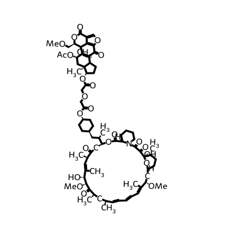 COC[C@H]1OC(=O)c2coc3c2[C@@]1(C)C1=C(C3=O)C2CC[C@H](OC(=O)COCC(=O)O[C@H]3CC[C@H](C[C@@H](C)[C@@H]4CC(=O)[C@H](C)/C=C(\C)[C@@H](O)[C@@H](OC)C(=O)[C@H](C)C[C@H](C)/C=C/C=C/C=C(\C)[C@@H](OC)C[C@@H]5CC[C@@H](C)[C@@](O)(O5)C(=O)C(=O)N5CCCC[C@H]5C(=O)O4)CC3)[C@@]2(C)C[C@H]1OC(C)=O